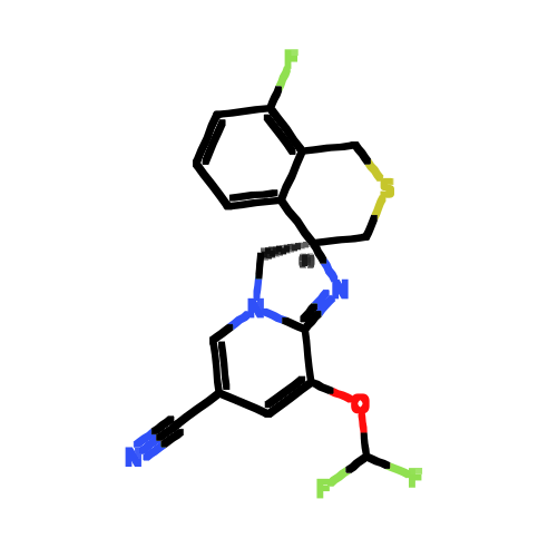 N#CC1=CN2C[C@]3(CSCc4c(F)cccc43)N=C2C(OC(F)F)=C1